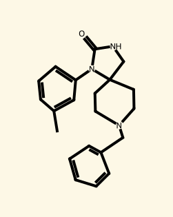 Cc1cccc(N2C(=O)NCC23CCN(Cc2ccccc2)CC3)c1